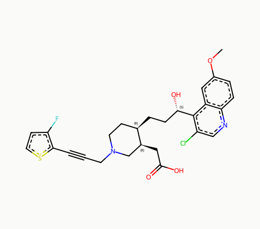 COc1ccc2ncc(Cl)c([C@@H](O)CC[C@@H]3CCN(CC#Cc4sccc4F)C[C@@H]3CC(=O)O)c2c1